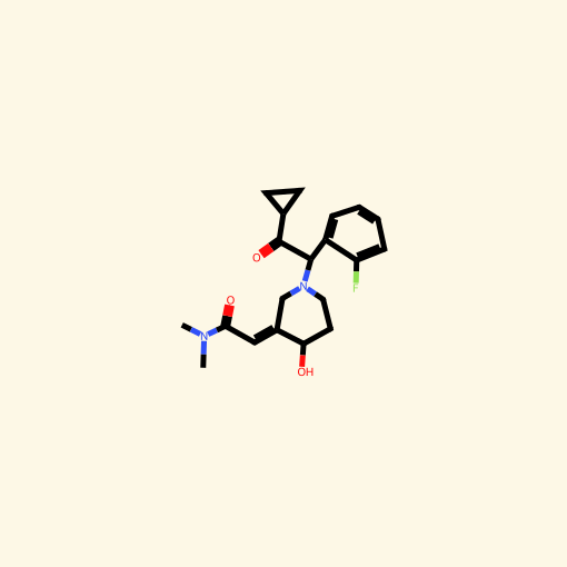 CN(C)C(=O)C=C1CN(C(C(=O)C2CC2)c2ccccc2F)CCC1O